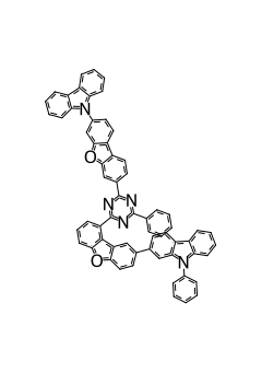 c1ccc(-c2nc(-c3ccc4c(c3)oc3cc(-n5c6ccccc6c6ccccc65)ccc34)nc(-c3cccc4oc5ccc(-c6ccc7c8ccccc8n(-c8ccccc8)c7c6)cc5c34)n2)cc1